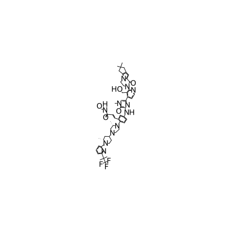 C[C@@H]1CC(N2CCN(c3ccc(Nc4nc(-c5ccnc(N6CCn7c(cc8c7CC(C)(C)C8)C6=O)c5CO)cn(C)c4=O)cc3C=CC(=O)NC=O)[C@@H](C)C2)CCN1c1cccc(C(C)(C)C(F)(F)F)n1